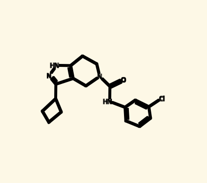 O=C(Nc1cccc(Cl)c1)N1CCc2[nH]nc(C3CCC3)c2C1